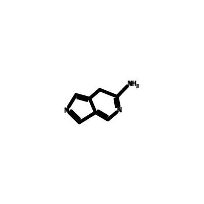 NC1=NC=C2C=NC=C2C1